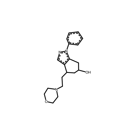 OC1Cc2c(cnn2-c2ccccc2)C(CCN2CCOCC2)C1